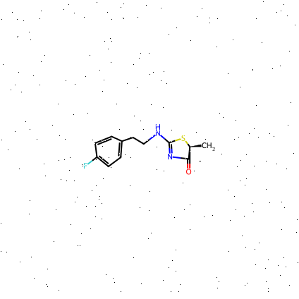 C[C@@H]1SC(NCCc2ccc(F)cc2)=NC1=O